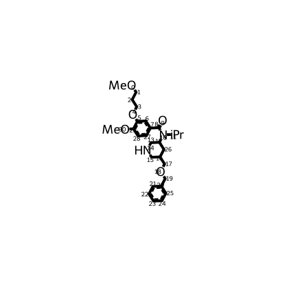 COCCCOc1cc(C(=O)N(C(C)C)C2CNCC(COCc3ccccc3)C2)ccc1OC